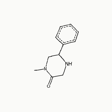 CN1CC(c2ccccc2)NCC1=O